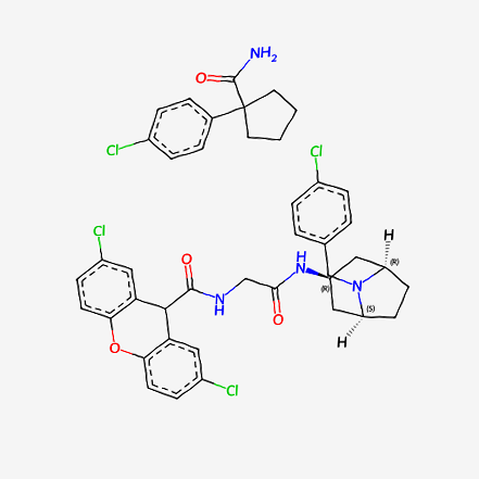 NC(=O)C1(c2ccc(Cl)cc2)CCCC1.O=C(CNC(=O)C1c2cc(Cl)ccc2Oc2ccc(Cl)cc21)N[C@H]1C[C@H]2CC[C@@H](C1)N2Cc1ccc(Cl)cc1